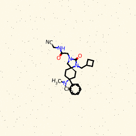 CN(C)[C@]1(c2ccccc2)CC[C@@]2(CC1)CN(CC(=O)NCC#N)C(=O)N2CC1CCC1